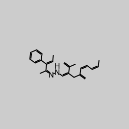 C=C(/C=C\C=C/C)C/C(=C/N/N=C(C)\C(=C\C)c1ccccc1)C(=C)C